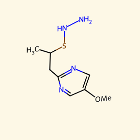 COc1cnc(CC(C)SNN)nc1